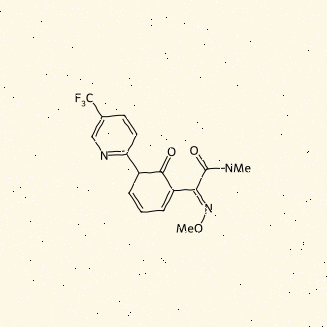 CNC(=O)/C(=N/OC)C1=CC=CC(c2ccc(C(F)(F)F)cn2)C1=O